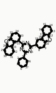 c1ccc(-c2nc(-c3ccc4oc5ccccc5c4c3)nc(-c3cccc4oc5ccccc5c34)n2)cc1